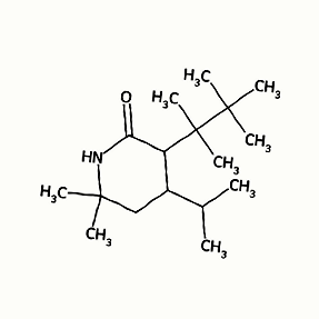 CC(C)C1CC(C)(C)NC(=O)C1C(C)(C)C(C)(C)C